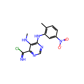 CNc1c(Nc2cc([N+](=O)[O-])ccc2C)ncnc1C(=N)Cl